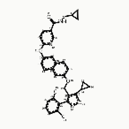 O=C(NSC1CC1)c1ccc(Oc2ccc3cc(OCc4c(-c5c(Cl)cccc5Cl)noc4C4CC4)ccc3c2)nc1